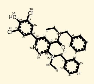 CCN(Cc1ccccc1)C(=O)c1cc(-c2cc(Cl)c(O)c(Cl)c2)nnc1N(CC)Cc1ccccc1